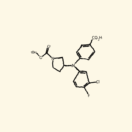 CC(C)(C)OC(=O)N1CCC(N(c2ccc(C(=O)O)cc2)c2ccc(F)c(Cl)c2)C1